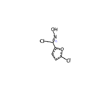 O/N=C(\Cl)c1ccc(Cl)o1